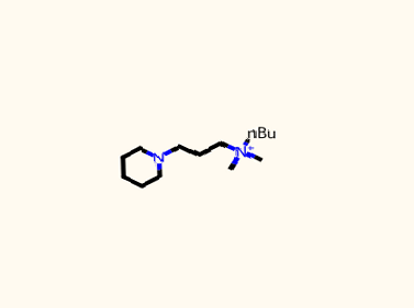 CCCC[N+](C)(C)CCCN1CCCCC1